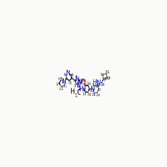 CC(n1cc(-c2cncc(N3CCCC3)c2)nn1)n1ccc(N2CCC[C@@H](NCC3CCC3)C2)cc1=O